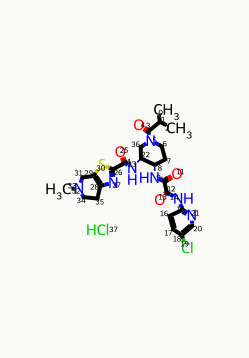 CC(C)C(=O)N1CC[C@H](NC(=O)C(=O)Nc2ccc(Cl)cn2)[C@H](NC(=O)c2nc3c(s2)CN(C)CC3)C1.Cl